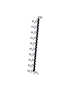 CC(C)=CCC/C(C)=C/CC/C(C)=C/CC/C(C)=C/CC/C(C)=C/CC/C(C)=C/CC/C(C)=C/CC/C(C)=C/CC/C(C)=C/CC/C(C)=C/CO